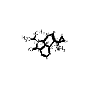 CC(C)N1C(=O)c2cccc3c(C4(N)CC4)ccc1c23